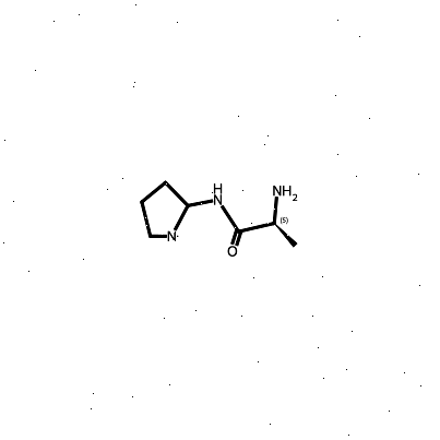 C[C@H](N)C(=O)NC1CCC[N]1